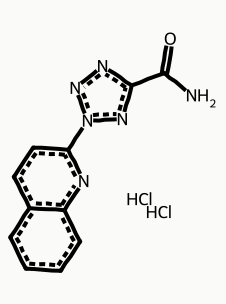 Cl.Cl.NC(=O)c1nnn(-c2ccc3ccccc3n2)n1